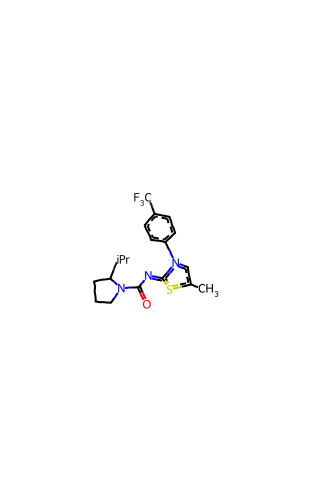 Cc1cn(-c2ccc(C(F)(F)F)cc2)/c(=N/C(=O)N2CCCC2C(C)C)s1